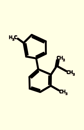 C=C(C)c1c(C)cccc1-c1cccc(C)c1